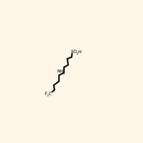 N.O=S(=O)(O)CCCCCCCCCC(F)(F)F